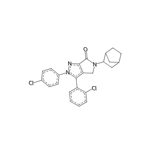 O=C1c2nn(-c3ccc(Cl)cc3)c(-c3ccccc3Cl)c2CN1C1CC2CCC1C2